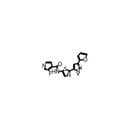 Cn1nc(-c2ccco2)cc1-c1ncc(NC(=O)c2ccncc2F)s1